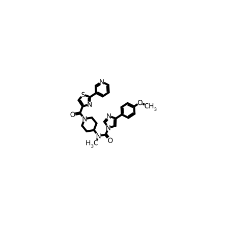 COc1ccc(-c2cn(C(=O)N(C)C3CCN(C(=O)c4csc(-c5cccnc5)n4)CC3)cn2)cc1